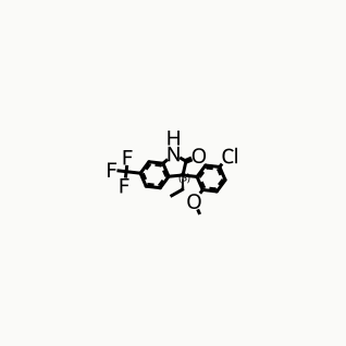 CC[C@]1(c2cc(Cl)ccc2OC)C(=O)Nc2cc(C(F)(F)F)ccc21